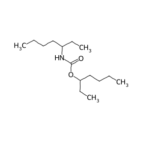 CCCCC(CC)NC(=O)OC(CC)CCCC